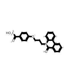 O=C(O)C(=O)c1ccc(OCCCn2c(=O)c3ccccc3c3ccccc32)cc1